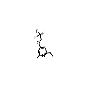 CCc1nc(C)cc(OCC(F)(F)F)n1